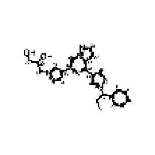 CCC(c1ccccc1)n1cc(-c2nc(-c3cnn(CC(O)CO)c3)cn3nccc23)cn1